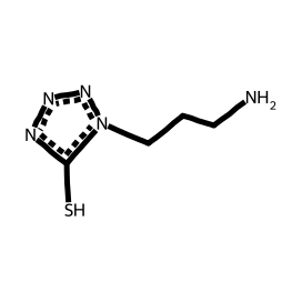 NCCCn1nnnc1S